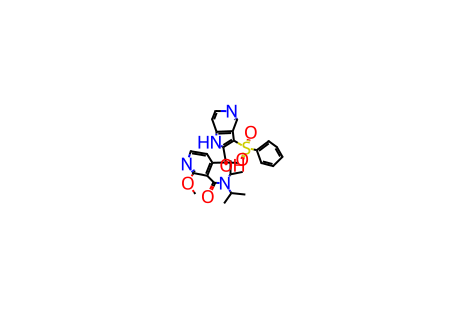 COc1nccc(C(C)(O)c2[nH]c3ccncc3c2S(=O)(=O)c2ccccc2)c1C(=O)N(C(C)C)C(C)C